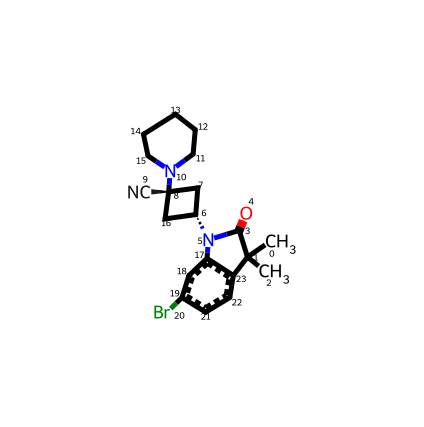 CC1(C)C(=O)N([C@H]2C[C@@](C#N)(N3CCCCC3)C2)c2cc(Br)ccc21